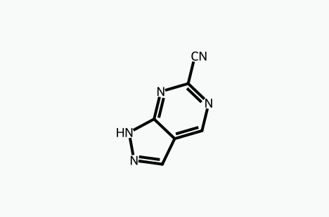 N#Cc1ncc2cn[nH]c2n1